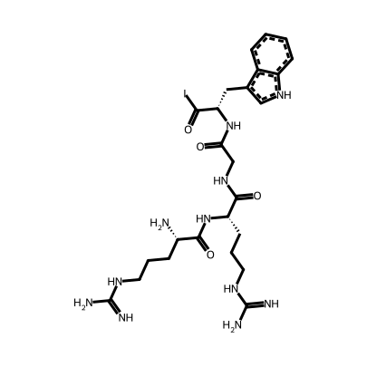 N=C(N)NCCC[C@H](NC(=O)[C@@H](N)CCCNC(=N)N)C(=O)NCC(=O)N[C@@H](Cc1c[nH]c2ccccc12)C(=O)I